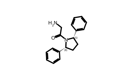 NCC(=O)N1[C@@H](c2ccccc2)CC[C@H]1c1ccccc1